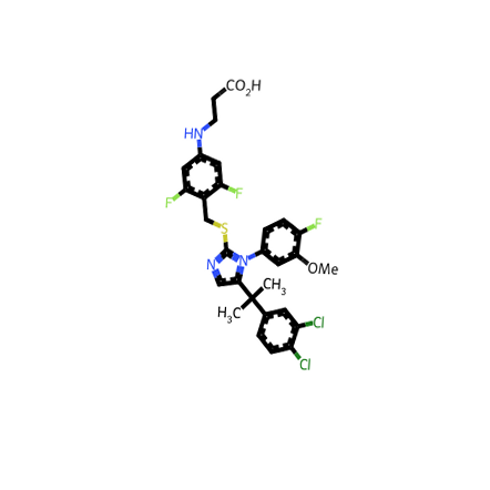 COc1cc(-n2c(C(C)(C)c3ccc(Cl)c(Cl)c3)cnc2SCc2c(F)cc(NCCC(=O)O)cc2F)ccc1F